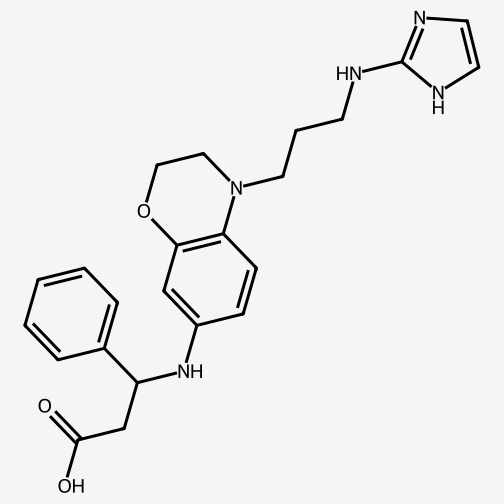 O=C(O)CC(Nc1ccc2c(c1)OCCN2CCCNc1ncc[nH]1)c1ccccc1